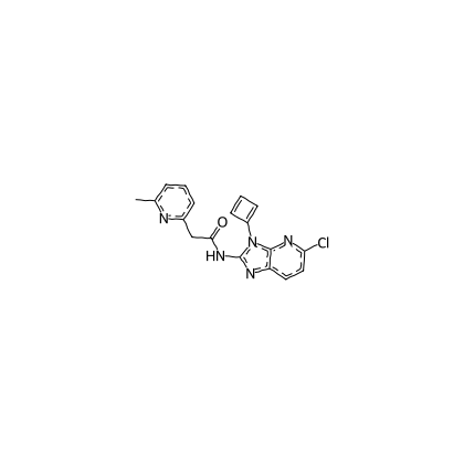 Cc1cccc(CC(=O)Nc2nc3ccc(Cl)nc3n2C2=CC=C2)n1